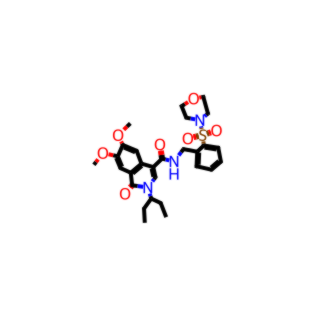 CCC(CC)n1cc(C(=O)NCc2ccccc2S(=O)(=O)N2CCOCC2)c2cc(OC)c(OC)cc2c1=O